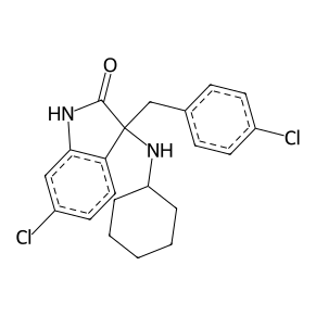 O=C1Nc2cc(Cl)ccc2C1(Cc1ccc(Cl)cc1)NC1CCCCC1